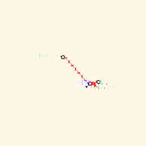 CNC(=O)c1c(-c2ccc(F)cc2)oc2cc(NCCOCCOCCOCCOCCOCCOCc3ccc(C(=O)O)cc3)c(C3CC3)cc12